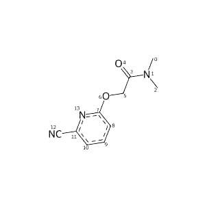 CN(C)C(=O)COc1cccc(C#N)n1